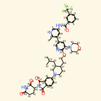 Cc1ncc(NC(=O)c2cccc(C(F)(F)F)c2)cc1-c1cnc(OCCC2CCN(c3ccc4c(c3)C(=O)N(C3CCC(=O)NC3=O)C4=O)CC2CC(C)C)c(N2CCOCC2)c1